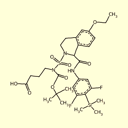 CCOc1ccc2c(c1)CCN(S(=O)(=O)N(CCCC(=O)O)C(=O)OC(C)(C)C)C2C(=O)Nc1cc(F)c([Si](C)(C)C)c(F)c1